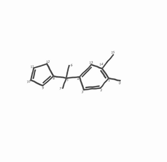 Cc1ccc(C(C)(C)C2=CC=CC2)cc1C